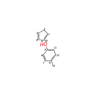 C1=CCC=C1.Cc1ccc(O)cc1